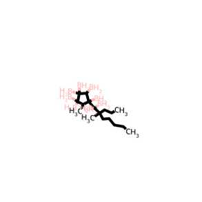 BC1C(B)(B)C(B)(B)C(B)(C)C1(B)C(B)(B)C(C)(CCC)CCCCC